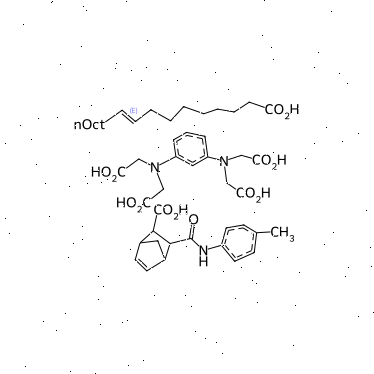 CCCCCCCC/C=C/CCCCCCCC(=O)O.Cc1ccc(NC(=O)C2C3C=CC(C3)C2C(=O)O)cc1.O=C(O)CN(CC(=O)O)c1cccc(N(CC(=O)O)CC(=O)O)c1